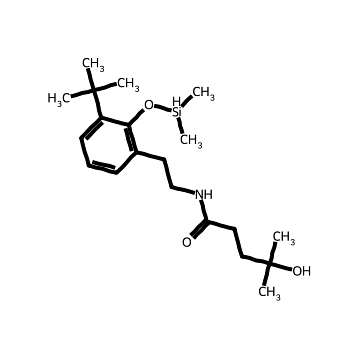 C[SiH](C)Oc1c(CCNC(=O)CCC(C)(C)O)cccc1C(C)(C)C